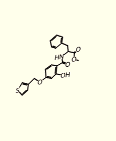 COC(=O)C(Cc1ccccc1)NC(=O)c1ccc(OCc2ccsc2)cc1O